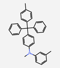 Cc1ccc(C(c2ccccc2)(c2ccccc2)c2ccc(N(C)c3cccc(C)c3)cc2)cc1